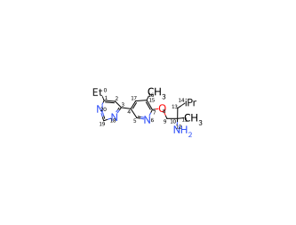 CCc1cc(-c2cnc(OCC(C)(N)CC(C)C)c(C)c2)ncn1